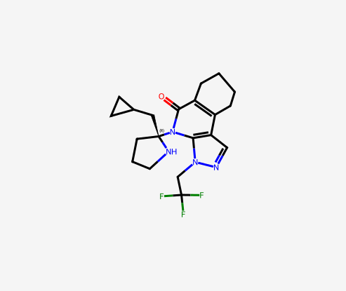 O=c1c2c(c3cnn(CC(F)(F)F)c3n1[C@@]1(CC3CC3)CCCN1)CCCC2